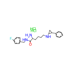 Cl.Cl.NC(CCCCNC1CC1c1ccccc1)C(=O)NCc1ccc(F)cc1